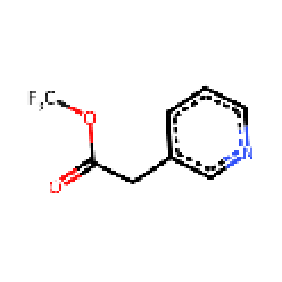 O=C(Cc1cccnc1)OC(F)(F)F